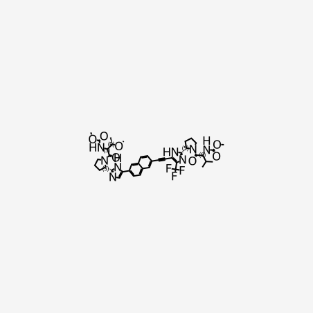 COC(=O)N[C@H](C(=O)N1CCC[C@H]1c1nc(C(F)(F)F)c(C#Cc2ccc3cc(-c4cnc([C@@H]5CCCN5C(=O)[C@@H](NC(=O)OC)[C@@H](C)OC)[nH]4)ccc3c2)[nH]1)C(C)C